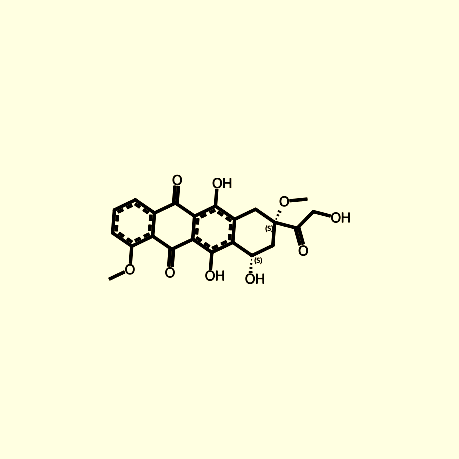 COc1cccc2c1C(=O)c1c(O)c3c(c(O)c1C2=O)C[C@@](OC)(C(=O)CO)C[C@@H]3O